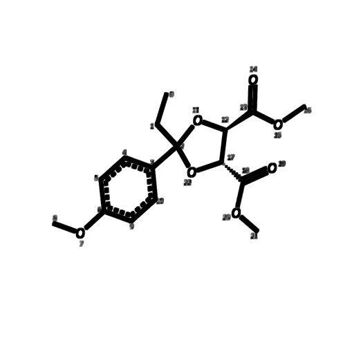 CCC1(c2ccc(OC)cc2)O[C@@H](C(=O)OC)[C@H](C(=O)OC)O1